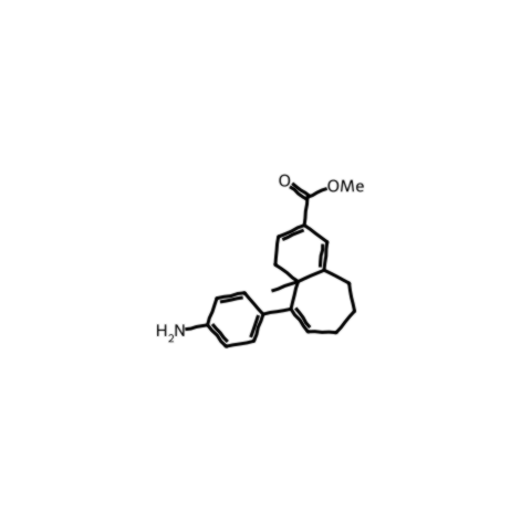 COC(=O)C1=CCC2(C)C(=C1)CCCC=C2c1ccc(N)cc1